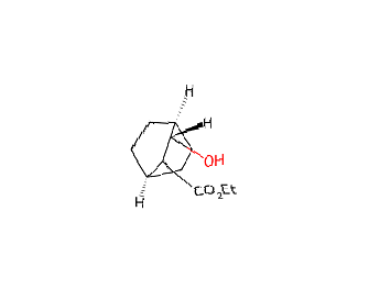 CCOC(=O)C1[C@H]2CC[C@H](CC2)[C@@H]1O